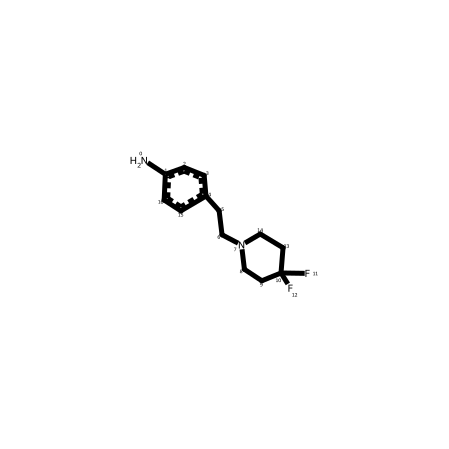 Nc1ccc(CCN2CCC(F)(F)CC2)cc1